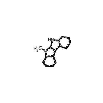 Cn1c2ccccc2c2c3ccccc3[nH]c21